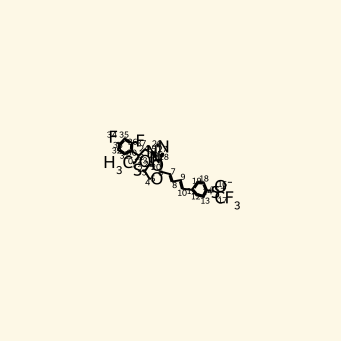 CC(SC1COC(C=CC=Cc2ccc([S+]([O-])C(F)(F)F)cc2)OC1)C(O)(Cn1cncn1)c1ccc(F)cc1F